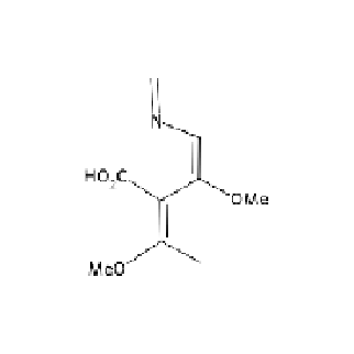 C=N/C=C(OC)\C(C(=O)O)=C(/C)OC